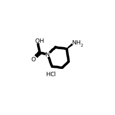 Cl.N[C@H]1CCCN(C(=O)O)C1